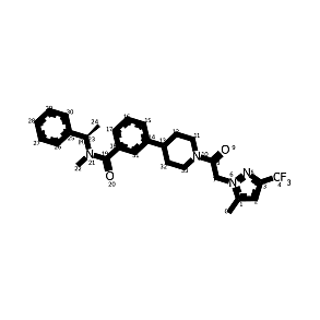 Cc1cc(C(F)(F)F)nn1CC(=O)N1CCC(c2cccc(C(=O)N(C)[C@H](C)c3ccccc3)c2)CC1